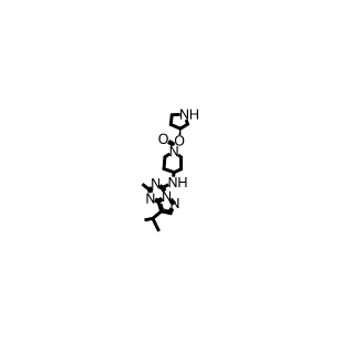 Cc1nc(NC2CCN(C(=O)O[C@H]3CCNC3)CC2)n2ncc(C(C)C)c2n1